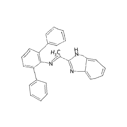 CC(=Nc1c(-c2ccccc2)cccc1-c1ccccc1)c1nc2ccccc2[nH]1